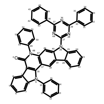 O=c1c2c3ccccc3n(-c3ccccc3)c2c2cc3c4ccccc4n(-c4nc(-c5ccccc5)nc(-c5ccccc5)n4)c3cc2n1-c1ccccc1